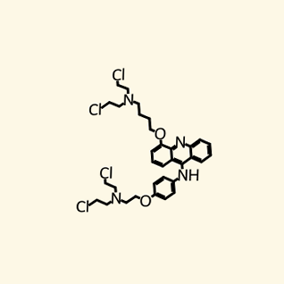 ClCCN(CCCl)CCCCOc1cccc2c(Nc3ccc(OCCN(CCCl)CCCl)cc3)c3ccccc3nc12